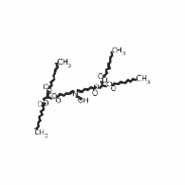 CCCCCCCCCC(=O)OCC(COC(=O)CCCCCCCCC)COC(=O)CCCCCN(CCO)CCCCCC(=O)OCC(COC(=O)CCCCCCCCC)COC(=O)CCCCCCCCC